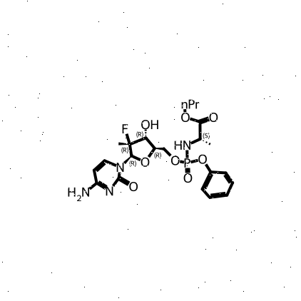 CCCOC(=O)[C@H](C)NP(=O)(OC[C@H]1O[C@@H](n2ccc(N)nc2=O)[C@](C)(F)[C@@H]1O)Oc1ccccc1